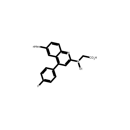 CCCCCCc1ccc2nc(N(CC)CC(=O)O)cc(-c3ccc(F)cc3)c2c1